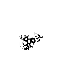 C=C(C)C(=O)Nc1ccc(-c2c(-c3cccc(OC)c3)c3c(N)ncnc3n2C)cc1